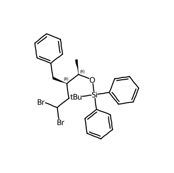 C[C@@H](O[Si](c1ccccc1)(c1ccccc1)C(C)(C)C)[C@H](Cc1ccccc1)CC(Br)Br